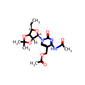 CC[C@H]1O[C@@H](n2cc(COC(C)=O)c(NC(C)=O)nc2=O)[C@H]2OC(C)(C)OC12